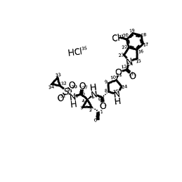 C=C[C@@H]1C[C@]1(NC(=O)[C@@H]1C[C@@H](OC(=O)N2Cc3cccc(Cl)c3C2)CN1)C(=O)NS(=O)(=O)C1CC1.Cl